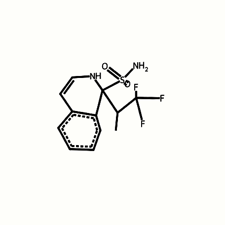 CC(C(F)(F)F)C1(S(N)(=O)=O)NC=Cc2ccccc21